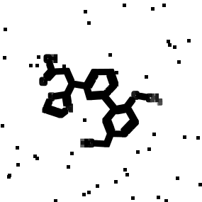 COc1ccc(CO)cc1-c1cccc(C(CC(=O)O)c2nccs2)c1